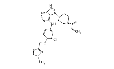 C=CC(=O)N1CCC(c2c[nH]c3ncnc(Nc4ccc(OCC5=NC(C)CS5)c(Cl)c4)c23)CC1